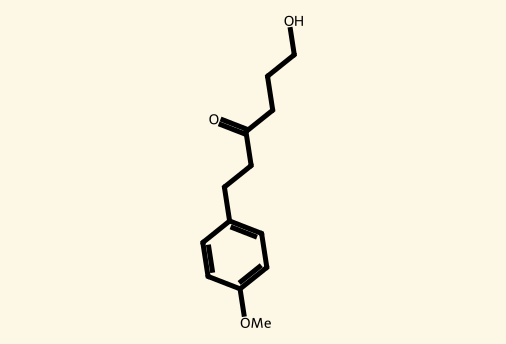 COc1ccc(CCC(=O)CCCO)cc1